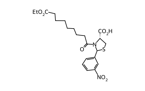 CCOC(=O)CCCCCCCC(=O)N1C(c2cccc([N+](=O)[O-])c2)SC[C@H]1C(=O)O